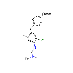 CCN(C)C=Nc1cc(C)c(Cc2ccc(OC)cc2)cc1Cl